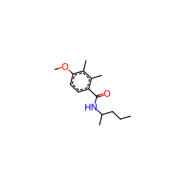 CCCC(C)NC(=O)c1ccc(OC)c(C)c1C